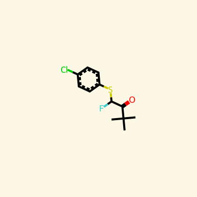 CC(C)(C)C(=O)C(F)Sc1ccc(Cl)cc1